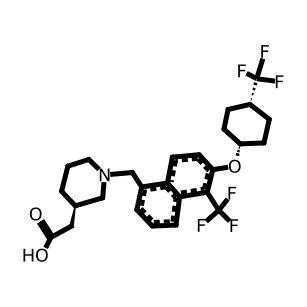 O=C(O)C[C@H]1CCCN(Cc2cccc3c(C(F)(F)F)c(O[C@H]4CC[C@@H](C(F)(F)F)CC4)ccc23)C1